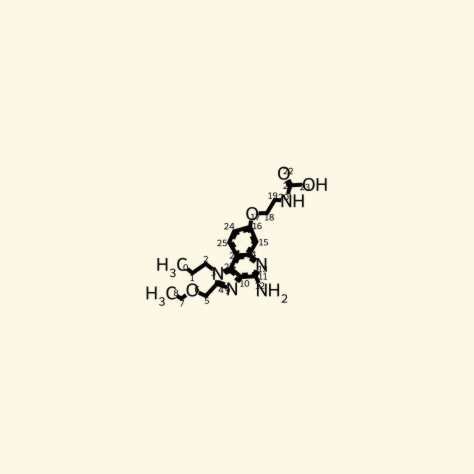 CCCn1c(COCC)nc2c(N)nc3cc(OCCNC(=O)O)ccc3c21